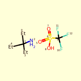 CCC(N)(CC)CC.O=S(=O)(O)C(F)(F)F